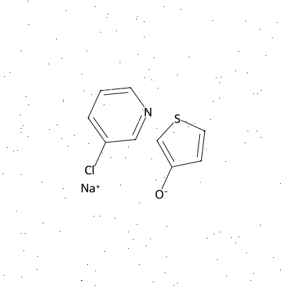 Clc1cccnc1.[Na+].[O-]c1ccsc1